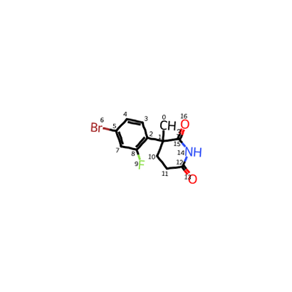 CC1(c2ccc(Br)cc2F)CCC(=O)NC1=O